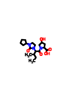 CCC(C)C(C(=O)N1CC(O)CC1C(=O)O)N1CCN(C2CCCC2)C1=O